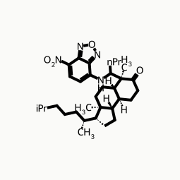 CCCC(Nc1ccc([N+](=O)[O-])c2nonc12)[C@@]1(C)C(=O)CC[C@H]2[C@@H]3CC[C@H]([C@H](C)CCCC(C)C)[C@@]3(C)CC[C@@H]21